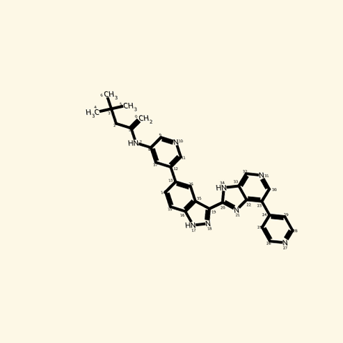 C=C(CC(C)(C)C)Nc1cncc(-c2ccc3[nH]nc(-c4nc5c(-c6ccncc6)cncc5[nH]4)c3c2)c1